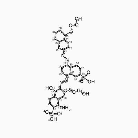 Nc1c(S(=O)(=O)O)ccc2c(O)c(/N=N/c3ccc(/N=N/c4ccc5c(SOOO)cccc5c4)c4ccc(S(=O)(=O)O)cc34)c(SOOO)cc12